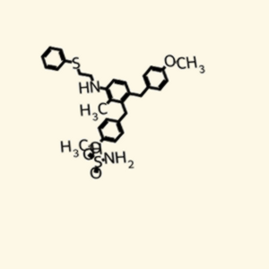 COc1ccc(Cc2ccc(NCCSc3ccccc3)c(C)c2Cc2ccc(OC)cc2)cc1.N[SH](=O)=O